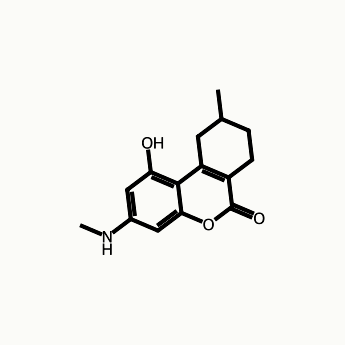 CNc1cc(O)c2c3c(c(=O)oc2c1)CCC(C)C3